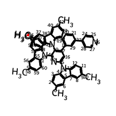 Cc1ccc2c(c1)c1cc(C)ccc1n2-c1cc(-c2cccc(-c3ccncc3)c2)c(-n2c3ccc(C)cc3c3cc(C)ccc32)c(-n2c3ccc(C)cc3c3cc(C)ccc32)n1